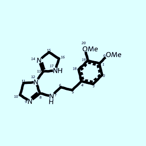 COc1ccc(CCNC2=NCCN2C2=NCCN2)cc1OC